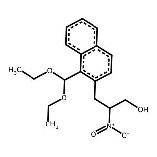 CCOC(OCC)c1c(CC(CO)[N+](=O)[O-])ccc2ccccc12